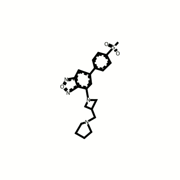 CS(=O)(=O)c1ccc(-c2cc(N3CC(CN4CCCC4)C3)c3nonc3c2)cc1